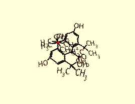 CC(C)(C)c1cc(O)cc(C(C)(C)C)c1C(C(=O)O)c1c(C(C)(C)C)cc(O)cc1C(C)(C)C